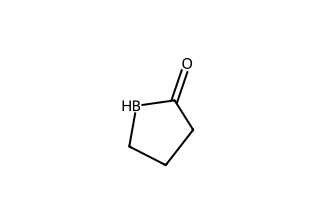 O=C1BCCC1